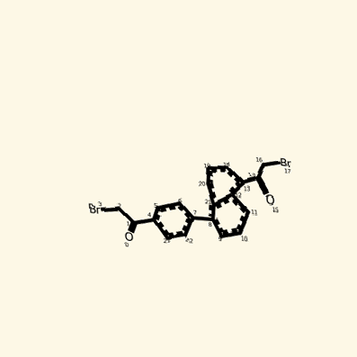 O=C(CBr)c1ccc(-c2cccc3c(C(=O)CBr)cccc23)cc1